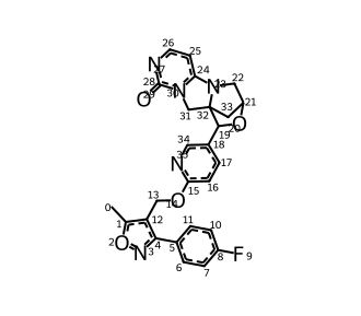 Cc1onc(-c2ccc(F)cc2)c1COc1ccc(C2OC3CN4c5ccnc(=O)n5CC24C3)cn1